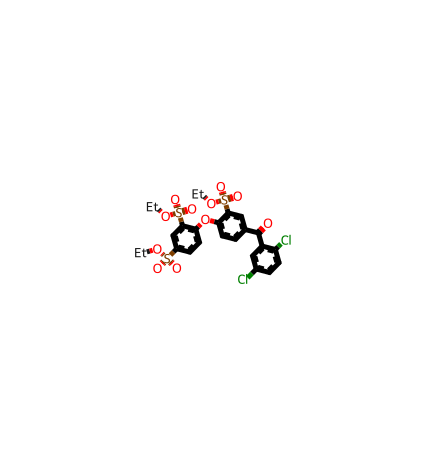 CCOS(=O)(=O)c1ccc(Oc2ccc(C(=O)c3cc(Cl)ccc3Cl)cc2S(=O)(=O)OCC)c(S(=O)(=O)OCC)c1